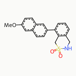 COc1ccc2cc(-c3cccc4c3CS(=O)(=O)NC4)ccc2c1